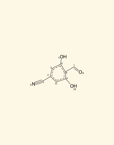 N#Cc1cc(O)c(C=O)c(O)c1